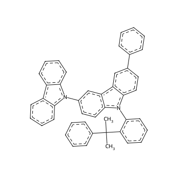 CC(C)(c1ccccc1)c1ccccc1-n1c2ccc(-c3ccccc3)cc2c2cc(-n3c4ccccc4c4ccccc43)ccc21